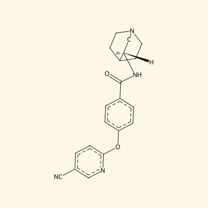 N#Cc1ccc(Oc2ccc(C(=O)N[C@H]3CN4CCC3CC4)cc2)nc1